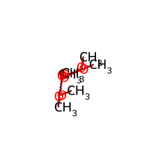 CCCCCCCOC(CCCCCCCCCC=CC(OC)OC(C=CCCCCCCCCCC(OCCCCCCC)OCCCCCCC)OC)OCCCCCCC